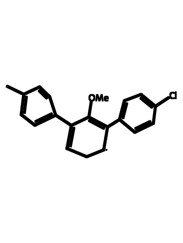 COC1=C(c2ccc(Cl)cc2)[CH]CC=C1c1ccc(C)cc1